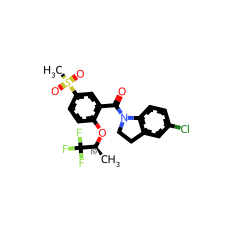 C[C@H](Oc1ccc(S(C)(=O)=O)cc1C(=O)N1CCc2cc(Cl)ccc21)C(F)(F)F